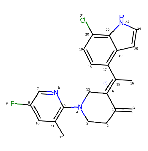 C=C1CCN(c2ncc(F)cc2C)C/C1=C(/C)c1ccc(Cl)c2[nH]ccc12